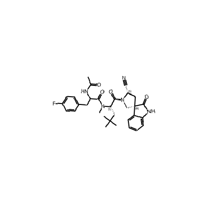 CC(=O)NC(Cc1ccc(F)cc1)C(=O)N(C)[C@@H](CC(C)(C)C)C(=O)N1C[C@]2(C[C@H]1C#N)C(=O)Nc1ccccc12